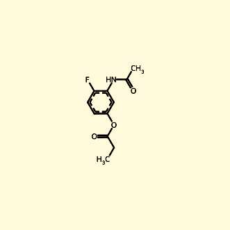 CCC(=O)Oc1ccc(F)c(NC(C)=O)c1